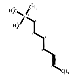 CC=CCCCC[Si](C)(C)C